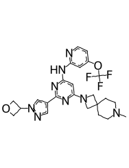 CN1CCC2(CC1)CN(c1cc(Nc3cc(OC(F)(F)F)ccn3)nc(-c3cnn(C4COC4)c3)n1)C2